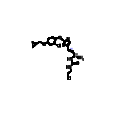 C[C@@H](/C=C/c1cnc(Oc2ccc(OCC3CC3)cc2Cl)s1)NC(=O)NCCCl